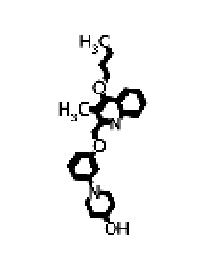 CCCCOc1c(C)c(COc2cccc(N3CCC(O)CC3)c2)nc2ccccc12